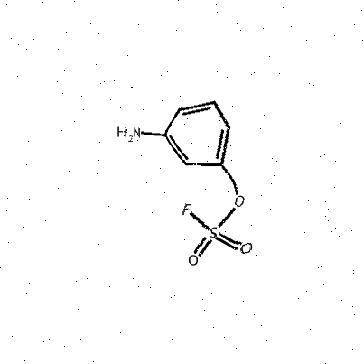 Nc1cccc(OS(=O)(=O)F)c1